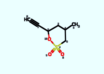 C#CC1CC(C)CS(=O)(=O)O1